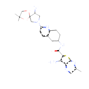 Cc1cnc2c(N)c(C(=O)NC3CCc4nc(N5CC(N)C6(C5)OCC(C)(C)O6)ccc4C3)sc2n1